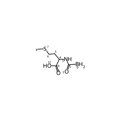 BC(=O)NC(CCSC)C(=O)O